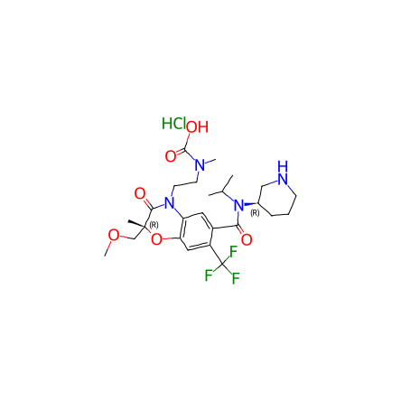 COC[C@@]1(C)Oc2cc(C(F)(F)F)c(C(=O)N(C(C)C)[C@@H]3CCCNC3)cc2N(CCN(C)C(=O)O)C1=O.Cl